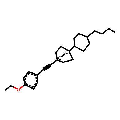 CCCCC1CCC(C23CCC(C#Cc4ccc(OCC)cc4)(CC2)CC3)CC1